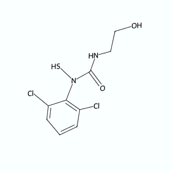 O=C(NCCO)N(S)c1c(Cl)cccc1Cl